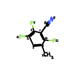 Cc1cc(F)c(F)c(C#N)c1F